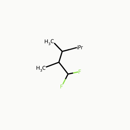 CC(C)C(C)C(C)C(F)F